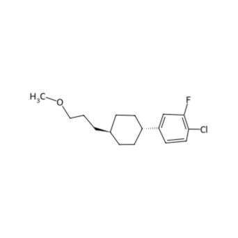 COCCC[C@H]1CC[C@H](c2ccc(Cl)c(F)c2)CC1